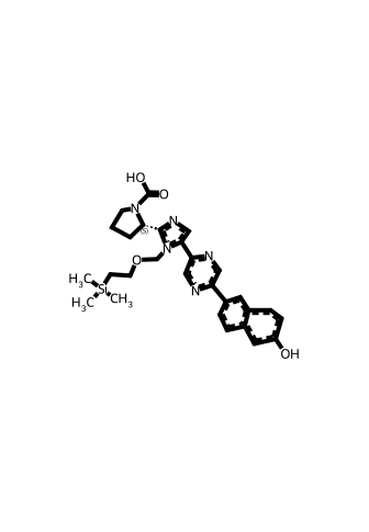 C[Si](C)(C)CCOCn1c(-c2cnc(-c3ccc4cc(O)ccc4c3)cn2)cnc1[C@@H]1CCCN1C(=O)O